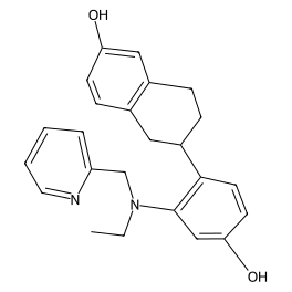 CCN(Cc1ccccn1)c1cc(O)ccc1C1CCc2cc(O)ccc2C1